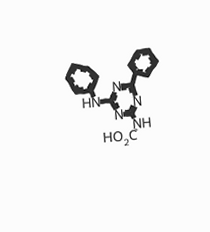 O=C(O)Nc1nc(Nc2ccccc2)nc(-c2ccccc2)n1